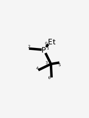 CCP(C)C(C)(C)C